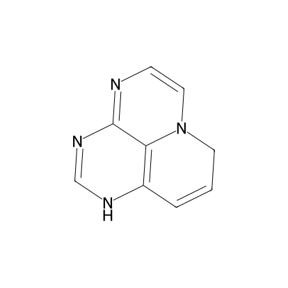 C1=CC2=C3C(=NC=CN3C1)N=CN2